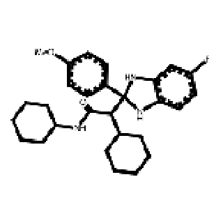 COc1ccc(C2(C(C(=O)NC3CCCCC3)C3CCCCC3)Nc3ccc(F)cc3N2)cc1